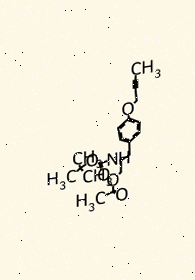 CC#CCOc1ccc(CC(COC(C)=O)NC(=O)OC(C)(C)C)cc1